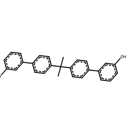 CC(C)(c1ccc(-c2cccc(O)c2)cc1)c1ccc(-c2cccc(O)c2)cc1